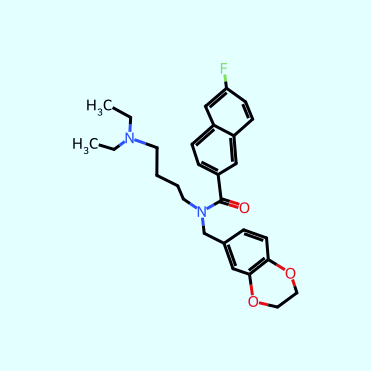 CCN(CC)CCCCN(Cc1ccc2c(c1)OCCO2)C(=O)c1ccc2cc(F)ccc2c1